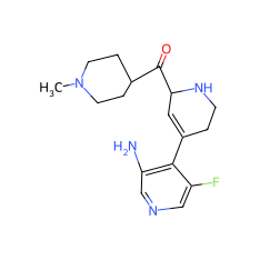 CN1CCC(C(=O)C2C=C(c3c(N)cncc3F)CCN2)CC1